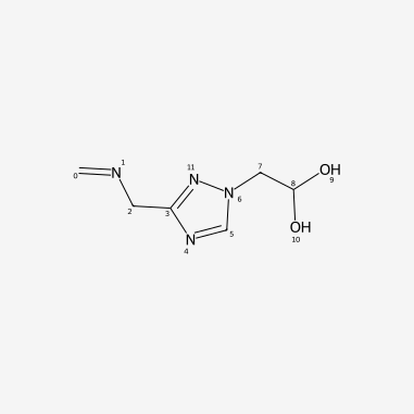 C=NCc1ncn(CC(O)O)n1